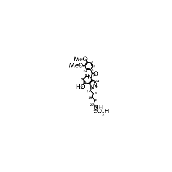 COc1ccc(C(=O)N2CCC(O)c3c2cnn3CCCCCNC(=O)O)cc1OC